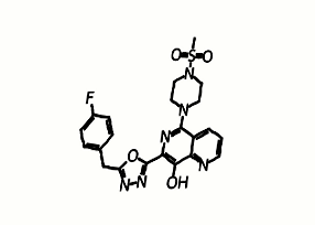 CS(=O)(=O)N1CCN(c2nc(-c3nnc(Cc4ccc(F)cc4)o3)c(O)c3ncccc23)CC1